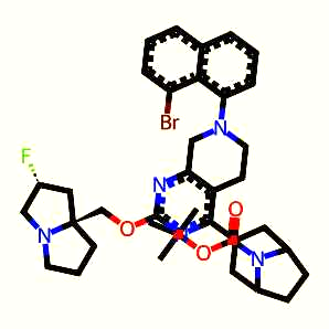 CC(C)(C)OC(=O)N1C2CCC1CC(c1nc(OC[C@@]34CCCN3C[C@H](F)C4)nc3c1CCN(c1cccc4cccc(Br)c14)C3)C2